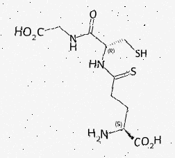 N[C@@H](CCC(=S)N[C@@H](CS)C(=O)NCC(=O)O)C(=O)O